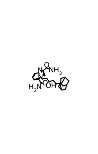 NC(=O)C1=C[N+]2(CCC(O)CCC34CC5CC(CC(C5)C3)C4)C(C(N)=O)=CC=CC2=N1